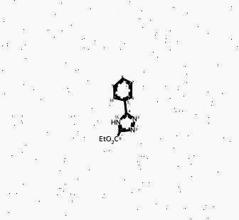 CCOC(=O)c1nnc(-c2ccccc2)[nH]1